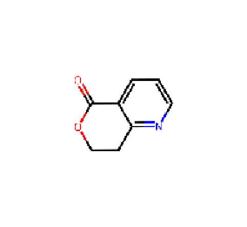 O=C1OCCc2ncccc21